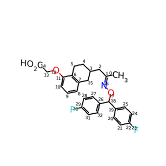 CC(CC1CCc2c(cccc2OCC(=O)O)C1)=NOC(c1ccc(F)cc1)c1ccc(F)cc1